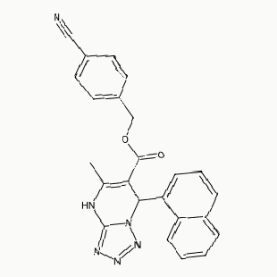 CC1=C(C(=O)OCc2ccc(C#N)cc2)C(c2cccc3ccccc23)n2nnnc2N1